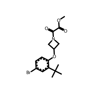 COC(=O)C(=O)N1CC(Oc2ccc(Br)cc2C(C)(C)C)C1